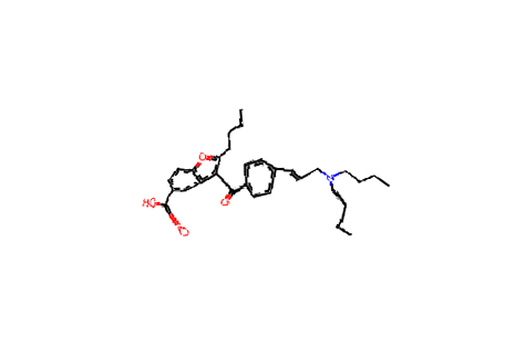 CCCCc1oc2ccc(C(=O)O)cc2c1C(=O)c1ccc(C=CCN(CCCC)CCCC)cc1